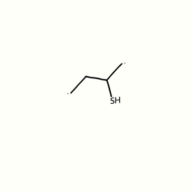 [CH2]CC([CH2])S